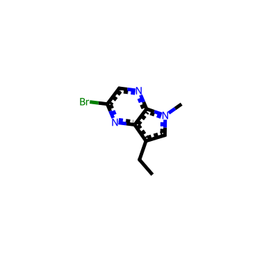 CCc1cn(C)c2ncc(Br)nc12